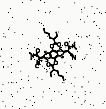 [C-]#[N+]C(C(=O)N(C)C)=C1Sc2c(OC(=O)C(CC)CCCC)c3c(c(OC(=O)C(CC)CCCC)c2S1)SC(=C(C#N)C(=O)N(C)C)S3